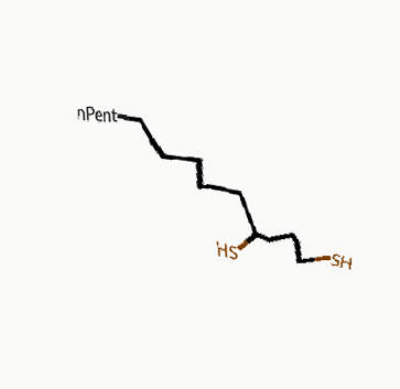 CCCCCCCCCCC(S)CCS